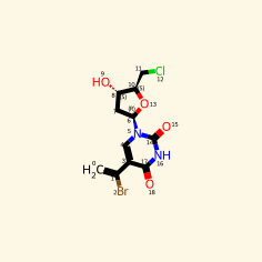 C=C(Br)c1cn([C@H]2C[C@H](O)[C@@H](CCl)O2)c(=O)[nH]c1=O